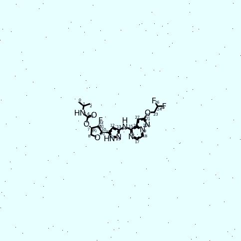 CC(C)NC(=O)O[C@@H]1CO[C@H](c2cc(Nc3nccn4nc(OCC(F)F)cc34)n[nH]2)[C@H]1F